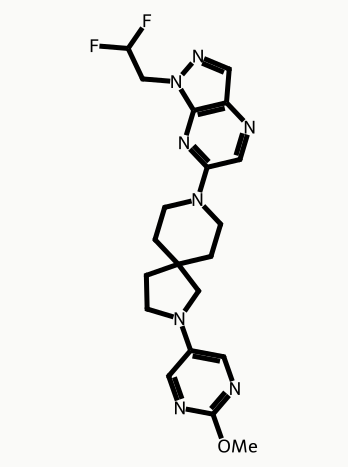 COc1ncc(N2CCC3(CCN(c4cnc5cnn(CC(F)F)c5n4)CC3)C2)cn1